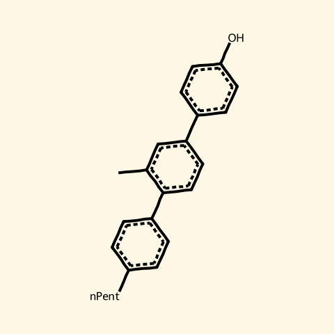 CCCCCc1ccc(-c2ccc(-c3ccc(O)cc3)cc2C)cc1